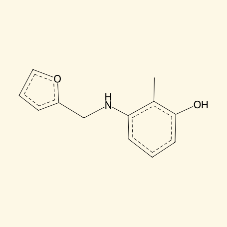 Cc1c(O)cccc1NCc1ccco1